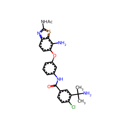 CC(=O)Nc1nc2ccc(Oc3cccc(NC(=O)c4ccc(Cl)c(C(C)(C)N)c4)c3)c(N)c2s1